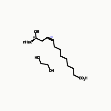 CCCCCC[C@@H](O)C/C=C\CCCCCCCC(=O)O.OCCO